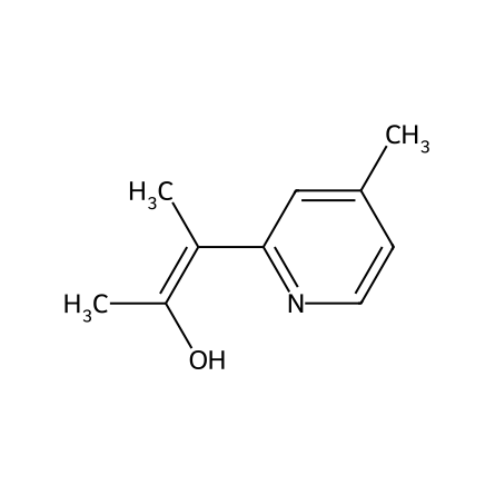 C/C(O)=C(\C)c1cc(C)ccn1